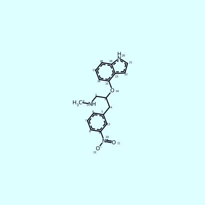 CNCC(Cc1cccc([N+](=O)[O-])c1)Oc1cccc2[nH]ccc12